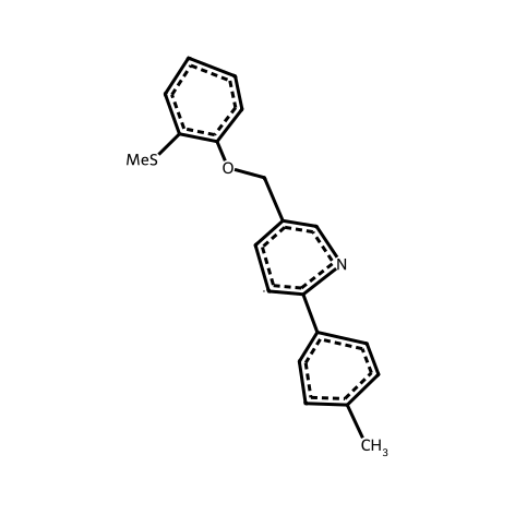 CSc1ccccc1OCc1c[c]c(-c2ccc(C)cc2)nc1